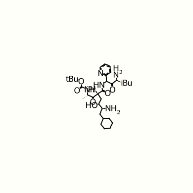 CC[C@H](C)[C@H](N)C(=O)C(NC(=O)[C@](C[C@H](O)[C@@H](N)CC1CCCCC1)(C(=O)[C@H](C)NC(=O)OC(C)(C)C)C(C)C)c1ccccn1